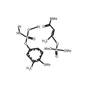 CCOP(=O)(NC(C)C)Oc1ccc(SC)c(C)c1.CNC(=O)/C=C(\C)OP(=O)(OC)OC